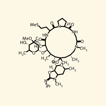 COC1(C)C[C@H](O[C@H]2C(C)C(=O)NC(CCSC)C(=O)N3CCC[C@H]3C(=O)NCC(=O)N(C)C[C@H](C)CC(C)(O)[C@H](O[C@@H]3OC(C)CC4[C@H]3O/C(=N/C(C)C)N4C)[C@H]2C)OC(C)[C@@H]1O